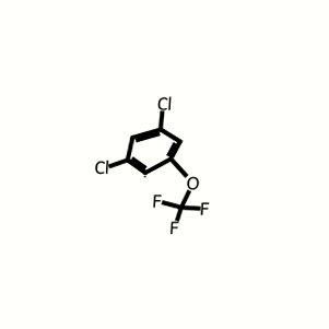 FC(F)(F)Oc1[c]c(Cl)cc(Cl)c1